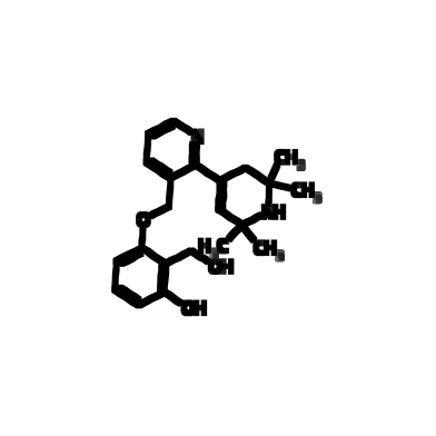 CC1(C)C=C(c2ncccc2COc2cccc(O)c2CO)CC(C)(C)N1